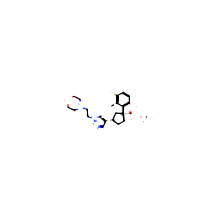 COC(=O)[C@@]1(c2cccc(F)c2C)CC[C@@H](c2cnn(CCN3CCOCC3)c2)C1